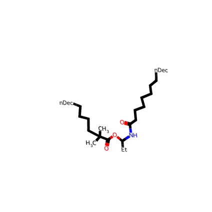 CCCCCCCCCCCCCCCCCC(=O)NC(CC)OC(=O)C(C)(C)CCCCCCCCCCCCCC